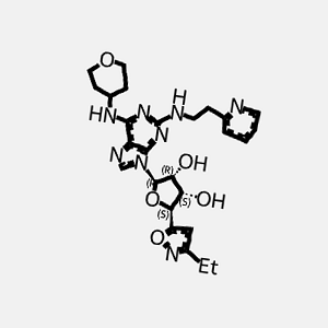 CCc1cc([C@H]2O[C@@H](n3cnc4c(NC5CCOCC5)nc(NCCc5ccccn5)nc43)[C@H](O)[C@@H]2O)on1